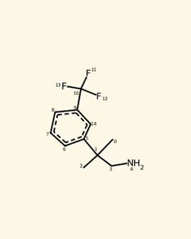 CC(C)(CN)c1cccc(C(F)(F)F)c1